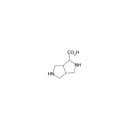 O=C(O)C1NCC2CNCC21